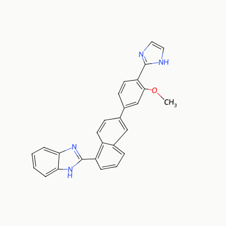 COc1cc(-c2ccc3c(-c4nc5ccccc5[nH]4)cccc3c2)ccc1-c1ncc[nH]1